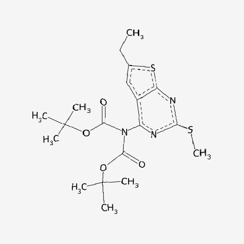 CCc1cc2c(N(C(=O)OC(C)(C)C)C(=O)OC(C)(C)C)nc(SC)nc2s1